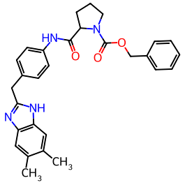 Cc1cc2nc(Cc3ccc(NC(=O)C4CCCN4C(=O)OCc4ccccc4)cc3)[nH]c2cc1C